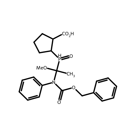 COC(C)(N(C(=O)OCc1ccccc1)c1ccccc1)[PH](=O)C1CCCC1C(=O)O